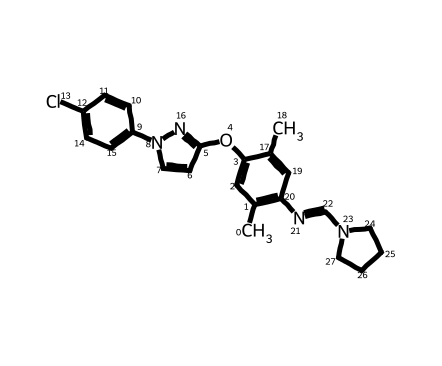 Cc1cc(Oc2ccn(-c3ccc(Cl)cc3)n2)c(C)cc1/N=C/N1CCCC1